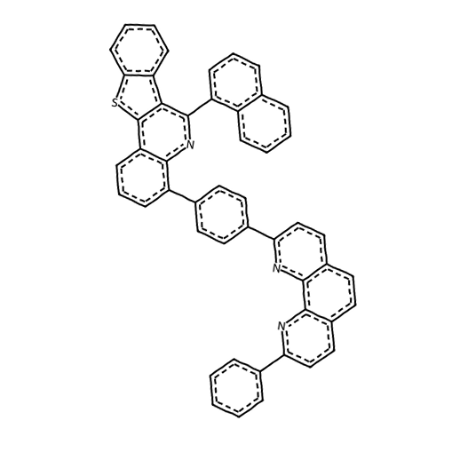 c1ccc(-c2ccc3ccc4ccc(-c5ccc(-c6cccc7c6nc(-c6cccc8ccccc68)c6c8ccccc8sc76)cc5)nc4c3n2)cc1